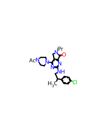 CC(=O)N1CCN(c2nc(NCC(C)c3ccc(Cl)cc3)nc3c2CN(C(C)C)C3=O)CC1